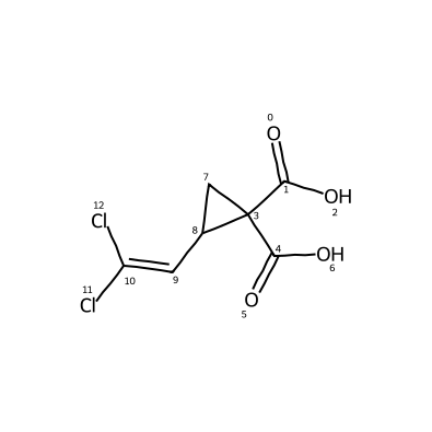 O=C(O)C1(C(=O)O)CC1C=C(Cl)Cl